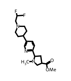 COC(=O)C1CC(c2ccc(C3CCN(CC(F)F)CC3)cn2)N(C)C1